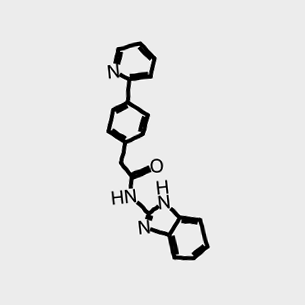 O=C(Cc1ccc(-c2ccccn2)cc1)Nc1nc2ccccc2[nH]1